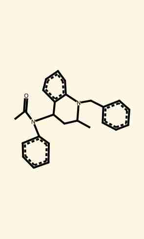 CC(=O)N(c1ccccc1)C1CC(C)N(Cc2ccccc2)c2ccccc21